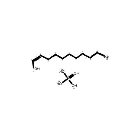 CCCCCCCC/C=C\CCCCCCC[CH2][Na].O=P(O)(O)O